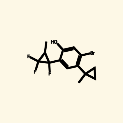 CC1C(F)(F)C1(F)c1cc(C2(C)CC2)c(Br)cc1O